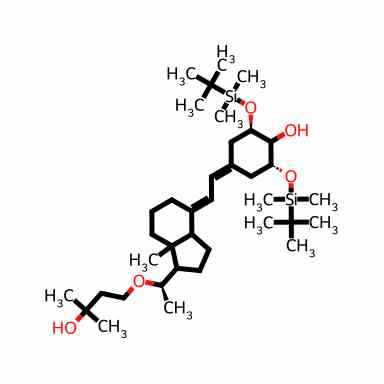 C[C@@H](OCCC(C)(C)O)C1CCC2/C(=C/C=C3C[C@@H](O[Si](C)(C)C(C)(C)C)C(O)[C@H](O[Si](C)(C)C(C)(C)C)C3)CCCC21C